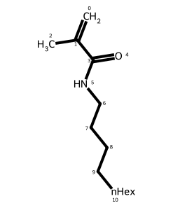 C=C(C)C(=O)NCCCCCCCCCC